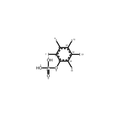 O=P(O)(O)Oc1c(I)c(I)c(I)c(I)c1I